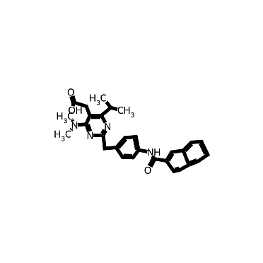 CC(C)c1nc(Cc2ccc(NC(=O)c3ccc4ccccc4c3)cc2)nc(N(C)C)c1CC(=O)O